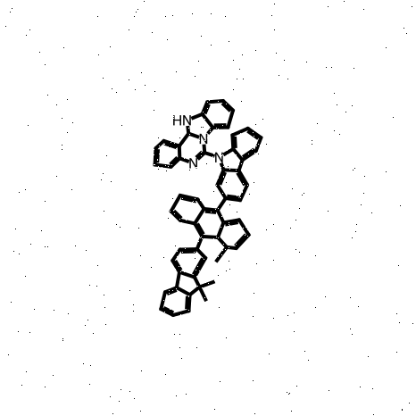 CC1C=CC=C2C(c3ccc4c5ccccc5n(C5=Nc6ccccc6C6Nc7ccccc7N56)c4c3)=c3ccccc3=C(c3ccc4c(c3)C(C)(C)c3ccccc3-4)C21